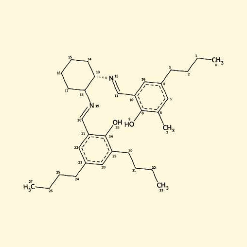 CCCCc1cc(C)c(O)c(/C=N/[C@H]2CCCCC2/N=C/c2cc(CCCC)cc(CCCC)c2O)c1